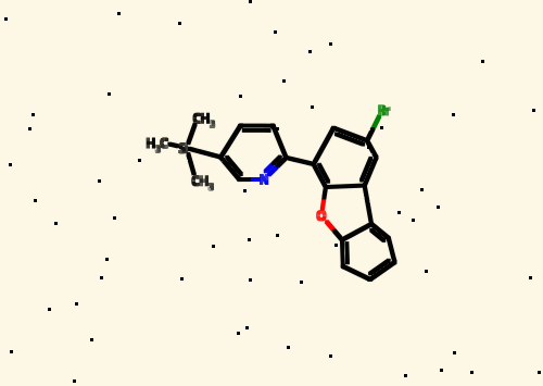 C[Si](C)(C)c1ccc(-c2cc(Br)cc3c2oc2ccccc23)nc1